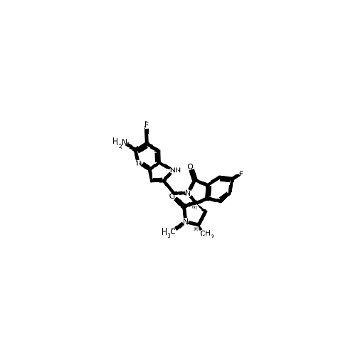 C[C@@H]1C[C@]2(C(=O)N1C)c1ccc(F)cc1C(=O)N2Cc1cc2nc(N)c(F)cc2[nH]1